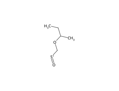 CCC(C)OC[S+]=O